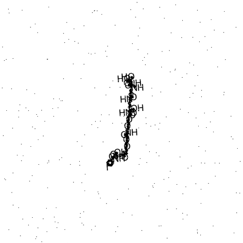 CN[C@@H](CSCC(=O)NCCCC[C@H](NC(=O)COCCOCCNC(=O)COCCOCCC(C)(C)C(=O)CC[C@H](NC(=O)[C@H]1CC[C@H](I)CC1)C(=O)O)C(=O)O)C(=O)N[C@@H](CO)C(=O)O